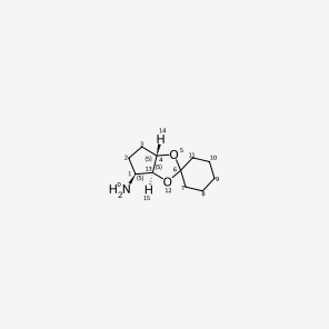 N[C@H]1CC[C@@H]2OC3(CCCCC3)O[C@H]21